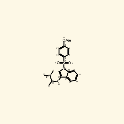 COc1ccc(S(=O)(=O)n2cc(SC(C)N(C)C)c3ccccc32)cc1